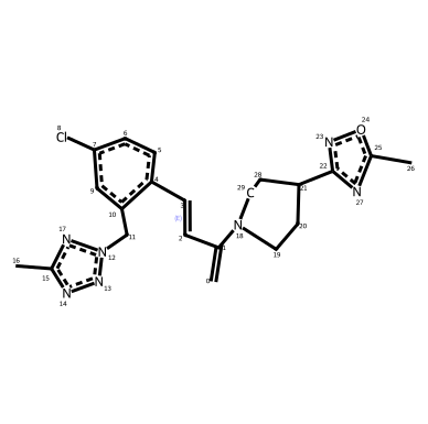 C=C(/C=C/c1ccc(Cl)cc1Cn1nnc(C)n1)N1CCC(c2noc(C)n2)CC1